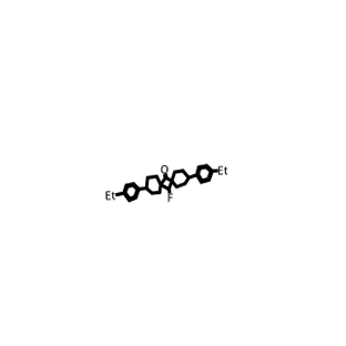 CCc1ccc(C2CCC3(CC2)C(=O)C2(CCC(c4ccc(CC)cc4)CC2)C3F)cc1